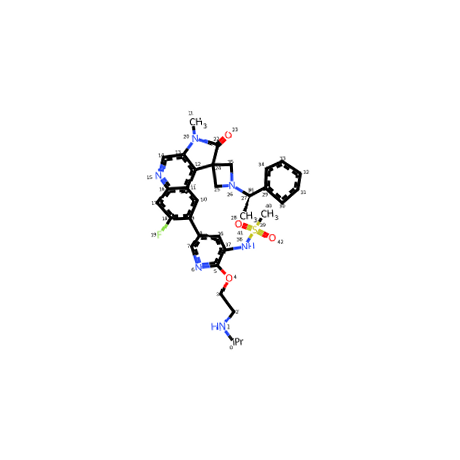 CC(C)NCCOc1ncc(-c2cc3c4c(cnc3cc2F)N(C)C(=O)C42CN([C@H](C)c3ccccc3)C2)cc1NS(C)(=O)=O